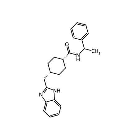 CC(NC(=O)[C@H]1CC[C@@H](Cc2nc3ccccc3[nH]2)CC1)c1ccccc1